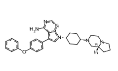 Nc1ncnc2c1c(-c1ccc(Oc3ccccc3)cc1)cn2[C@H]1CC[C@H](N2CCN3CCC[C@@H]3C2)CC1